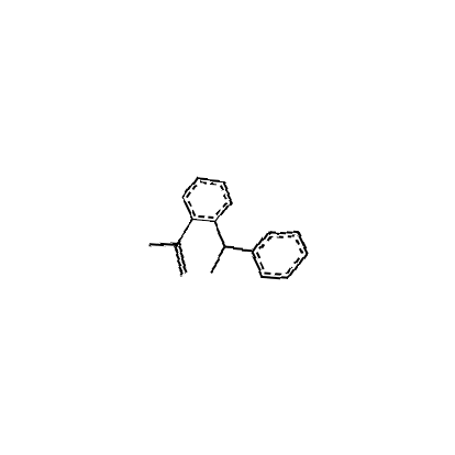 C=C(C)c1ccccc1C(C)c1ccccc1